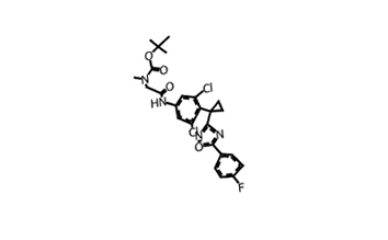 CN(CC(=O)Nc1cc(Cl)c(C2(c3noc(-c4ccc(F)cc4)n3)CC2)c(Cl)c1)C(=O)OC(C)(C)C